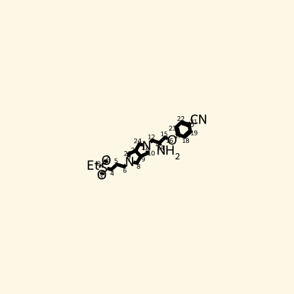 CCS(=O)(=O)CCCN1CC2CN(CC(N)COc3ccc(C#N)cc3)CC2C1